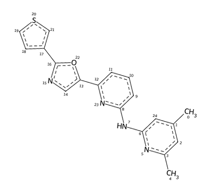 Cc1cc(C)nc(Nc2cccc(-c3cnc(-c4ccsc4)o3)n2)c1